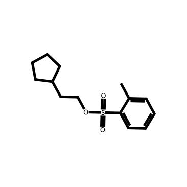 Cc1ccccc1S(=O)(=O)OCCC1CCCC1